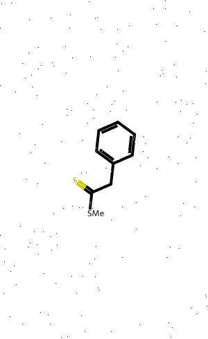 CSC(=S)Cc1ccccc1